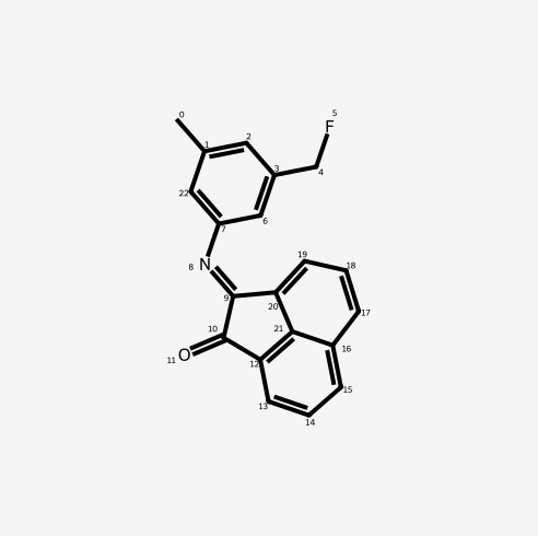 Cc1cc(CF)cc(N=C2C(=O)c3cccc4cccc2c34)c1